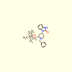 CC(C)(C)[Si](C)(C)OCC1CC(n2c(=O)[nH]c3ccccc32)CCN1Cc1ccccc1